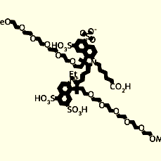 CC[N+]1=C(/C=C/C=C2/N(CCCCCC(=O)O)c3ccc4c(S(=O)(=O)[O-])cc(S(=O)(=O)O)cc4c3C2(C)CCOCCOCCOCCOCCOCCOC)C(C)(CCOCCOCCOCCOCCOCCOC)c2c1ccc1c(S(=O)(=O)O)cc(S(=O)(=O)O)cc21